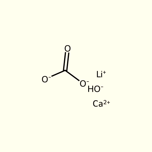 O=C([O-])[O-].[Ca+2].[Li+].[OH-]